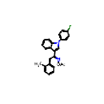 CC(=O)O/N=C(\Cc1ccccc1C)c1cn(-c2ccc(F)cc2)c2ccccc12